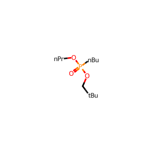 CCCCP(=O)(OCCC)OCC(C)(C)C